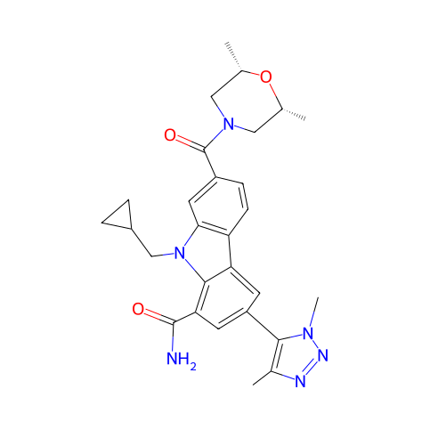 Cc1nnn(C)c1-c1cc(C(N)=O)c2c(c1)c1ccc(C(=O)N3C[C@@H](C)O[C@@H](C)C3)cc1n2CC1CC1